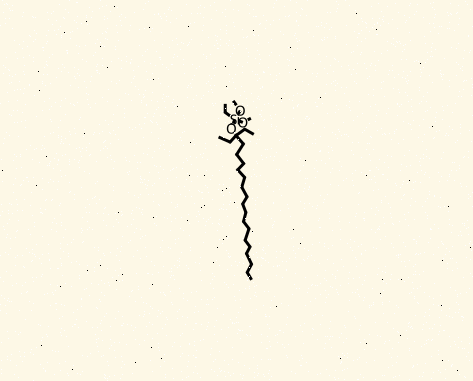 CCCCCCCCCCCCCCCCCC(CC)(CC)O[Si](CC)(OC)OC